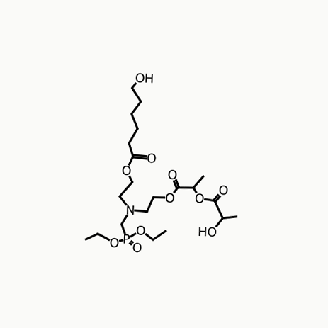 CCOP(=O)(CN(CCOC(=O)CCCCCO)CCOC(=O)C(C)OC(=O)C(C)O)OCC